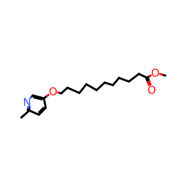 COC(=O)CCCCCCCCCCOc1ccc(C)nc1